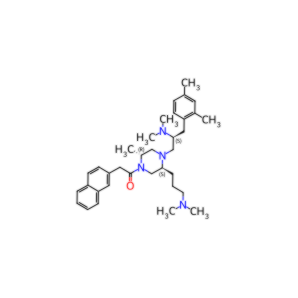 Cc1ccc(C[C@@H](CN2C[C@@H](C)N(C(=O)Cc3ccc4ccccc4c3)C[C@@H]2CCCN(C)C)N(C)C)c(C)c1